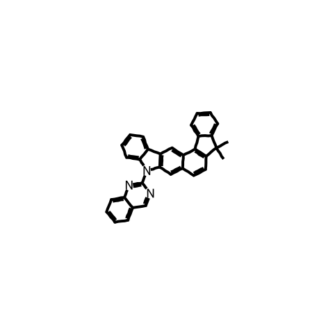 CC1(C)c2ccccc2-c2c1ccc1cc3c(cc21)c1ccccc1n3-c1ncc2ccccc2n1